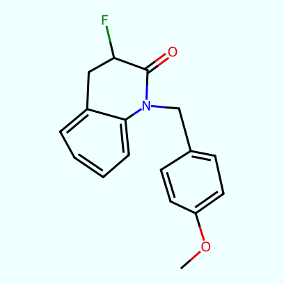 COc1ccc(CN2C(=O)C(F)Cc3ccccc32)cc1